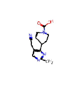 Cc1ncc(CC#N)c(C2CCN(C(=O)O)CC2)n1